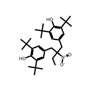 CCC(Cc1cc(C(C)(C)C)c(O)c(C(C)(C)C)c1)(Cc1cc(C(C)(C)C)c(O)c(C(C)(C)C)c1)[N+](=O)[O-]